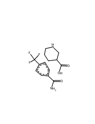 NC(=O)c1ccc(C(F)(F)F)cc1.O=C(O)C1CCCNC1